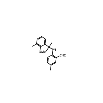 COc1c(C)cccc1C(C)(C)Pc1ccc(C)cc1C=O